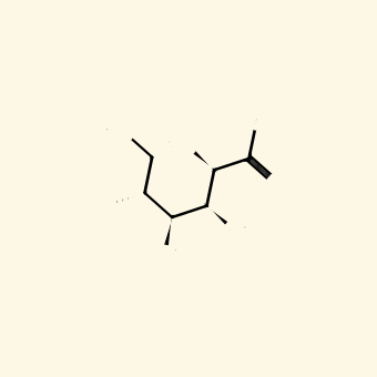 CC(=O)OC[C@@H](O)[C@H](OC(C)=O)[C@H](OC(C)=O)[C@@H](OC(C)=O)C(=O)C(C)=O